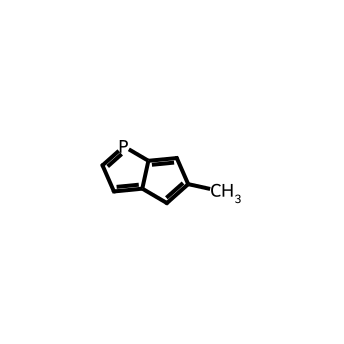 CC1=CC2=CC=PC2=C1